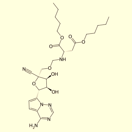 CCCCCOC(=O)C[C@H](NCOC[C@@]1(C#N)O[C@@H](c2ccc3c(N)ncnn23)[C@H](O)[C@@H]1O)C(=O)OCCCCC